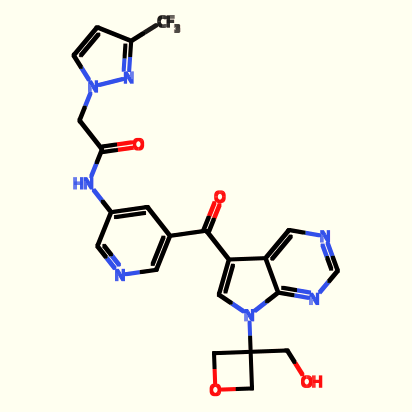 O=C(Cn1ccc(C(F)(F)F)n1)Nc1cncc(C(=O)c2cn(C3(CO)COC3)c3ncncc23)c1